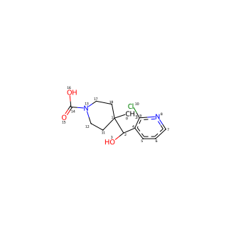 CC1(C(O)c2cccnc2Cl)CCN(C(=O)O)CC1